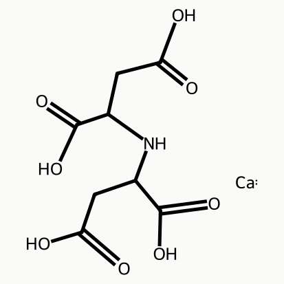 O=C(O)CC(NC(CC(=O)O)C(=O)O)C(=O)O.[Ca]